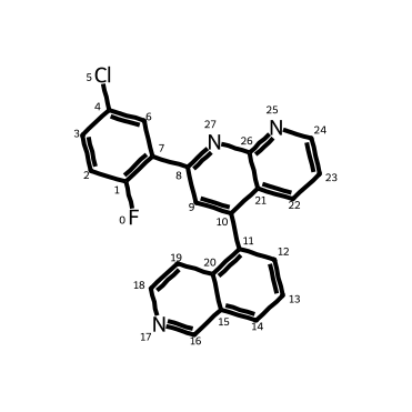 Fc1ccc(Cl)cc1-c1cc(-c2cccc3cnccc23)c2cccnc2n1